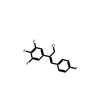 Fc1ccc(C=C(CCl)c2cc(F)c(F)c(F)c2)cc1